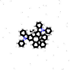 C[Si]1(C)c2c3c(cc4c2c2ccccc2n4-c2ccccc2)-c2ccccc2C(c2ccccc2)(c2ccccc2)c2cc4c(c1c2-3)c1ccccc1n4-c1ccccc1